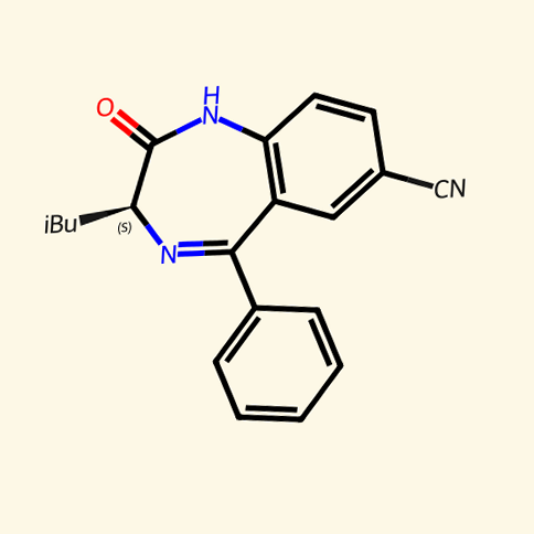 CCC(C)[C@@H]1N=C(c2ccccc2)c2cc(C#N)ccc2NC1=O